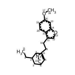 CCC1CC2C=CC1N(CCc1coc3cc(OC)ccc13)C2